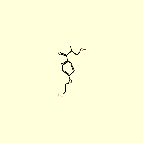 CC(CO)C(=O)c1ccc(OCCO)cc1